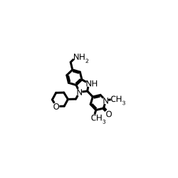 Cc1cc(C2Nc3cc(CN)ccc3N2CC2CCCOC2)cn(C)c1=O